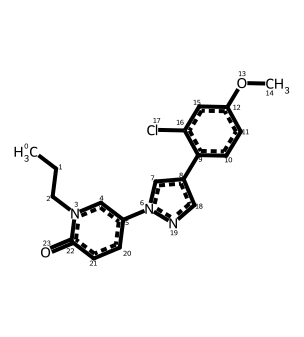 CCCn1cc(-n2cc(-c3ccc(OC)cc3Cl)cn2)ccc1=O